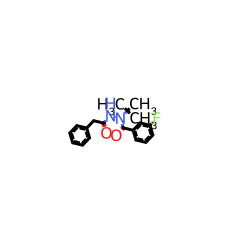 CC(C)(C)N(NC(=O)Cc1ccccc1)C(=O)c1cccc(F)c1